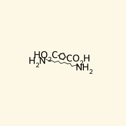 NCCCCCCCCCCCN.O=C(O)c1ccc(C(=O)O)cc1